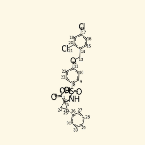 O=C(O)[C@@]1(NS(=O)(=O)c2ccc(OCc3ccc(Cl)cc3Cl)cc2)C[C@H]1c1ccccc1